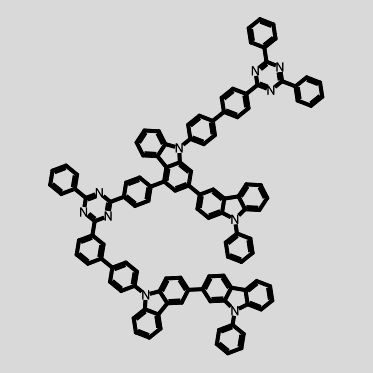 c1ccc(-c2nc(-c3ccccc3)nc(-c3ccc(-c4ccc(-n5c6ccccc6c6c(-c7ccc(-c8nc(-c9ccccc9)nc(-c9cccc(-c%10ccc(-n%11c%12ccccc%12c%12cc(-c%13ccc%14c%15ccccc%15n(-c%15ccccc%15)c%14c%13)ccc%12%11)cc%10)c9)n8)cc7)cc(-c7ccc8c(c7)c7ccccc7n8-c7ccccc7)cc65)cc4)cc3)n2)cc1